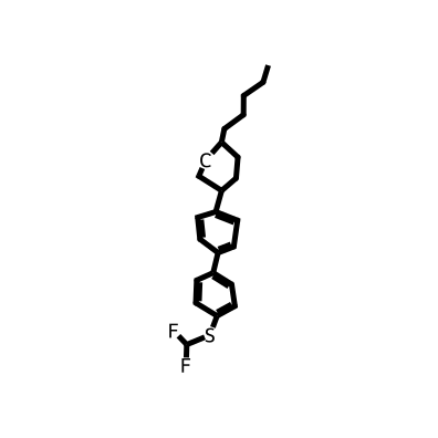 CCCCCC1CCC(c2ccc(-c3ccc(SC(F)F)cc3)cc2)CC1